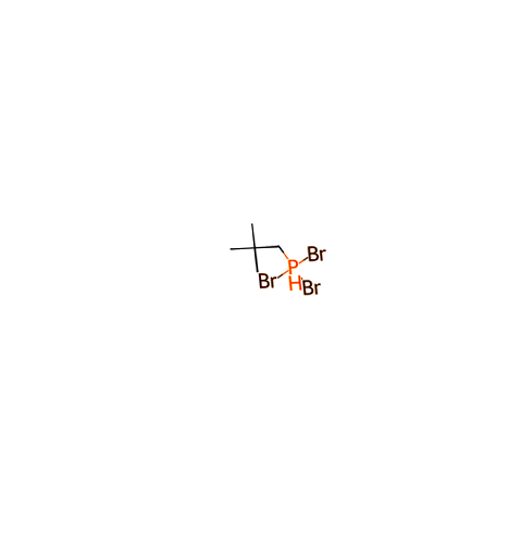 CC(C)(C)C[PH](Br)(Br)Br